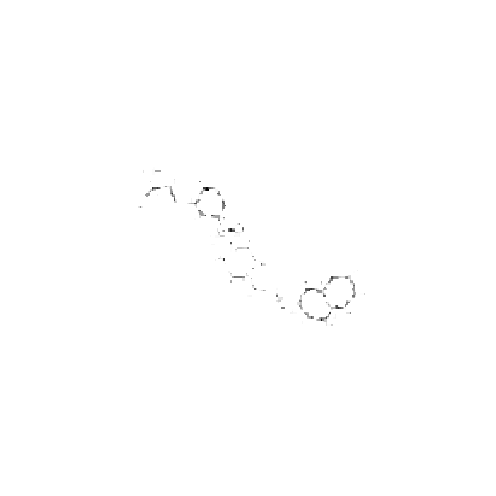 O=C(O)C=Cc1cccc(S(=O)(=O)N2CCN(CCOc3ccc4ccccc4c3)CC2)c1